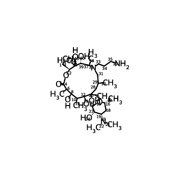 CC[C@@H]1OC(=O)C(C)[C@H](O)C(C)[C@H](O[C@@H]2O[C@H](C)C[C@H](N(C)C)[C@@H]2O)[C@@](C)(O)CC(C)CN(CCCN)C(C)[C@@H](O)[C@@]1(C)O